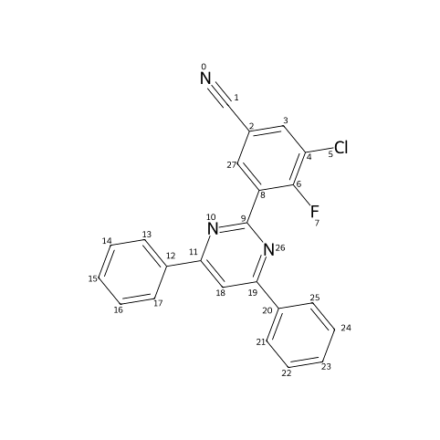 N#Cc1cc(Cl)c(F)c(-c2nc(-c3ccccc3)cc(-c3ccccc3)n2)c1